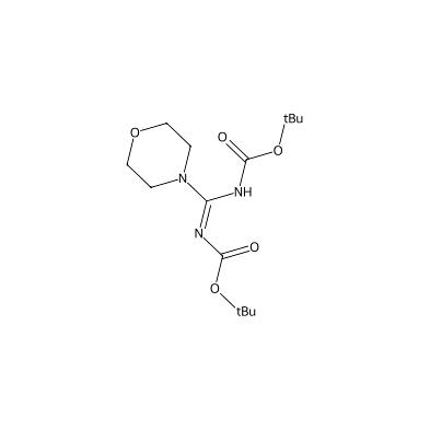 CC(C)(C)OC(=O)/N=C(\NC(=O)OC(C)(C)C)N1CCOCC1